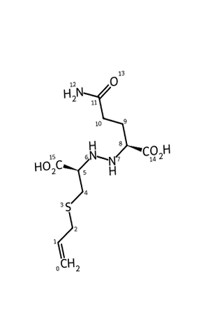 C=CCSC[C@H](NN[C@@H](CCC(N)=O)C(=O)O)C(=O)O